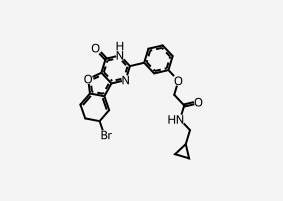 O=C(COc1cccc(-c2nc3c4c(oc3c(=O)[nH]2)=CCC(Br)C=4)c1)NCC1CC1